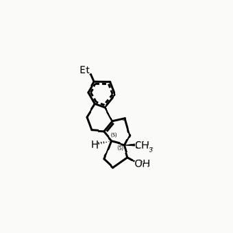 CCc1ccc2c(c1)CCC1=C2CC[C@]2(C)C(O)CC[C@@H]12